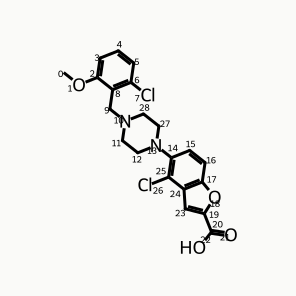 COc1cccc(Cl)c1CN1CCN(c2ccc3oc(C(=O)O)cc3c2Cl)CC1